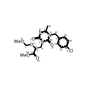 COCO[C@@H](Cn1c(=O)nc(C)n(Cc2ccc(Cl)cc2)c1=O)C(=O)OC